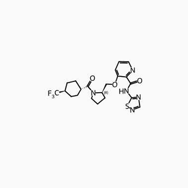 O=C(Nc1ncns1)c1ncccc1OC[C@H]1CCCN1C(=O)[C@H]1CC[C@H](C(F)(F)F)CC1